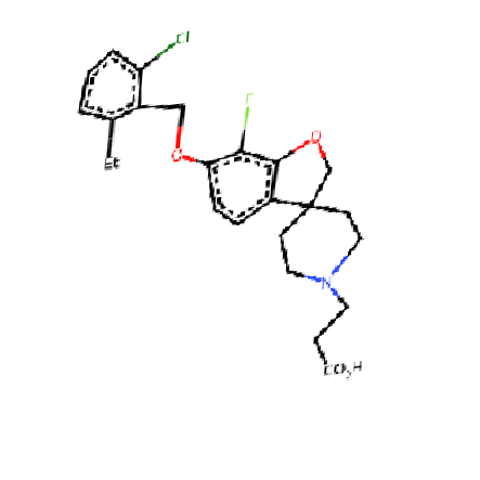 CCc1cccc(Cl)c1COc1ccc2c(c1F)OCC21CCN(CCC(=O)O)CC1